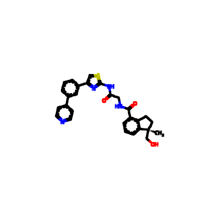 C[C@@]1(CO)CCc2c(C(=O)NCC(=O)Nc3nc(-c4cccc(-c5ccncc5)c4)cs3)cccc21